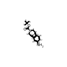 CC(C)(C)OC(=O)N1CC2OC(C1)c1cc(N)ccc12